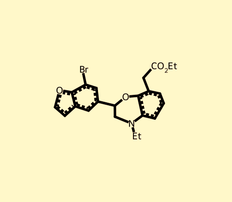 CCOC(=O)Cc1cccc2c1OC(c1cc(Br)c3occc3c1)CN2CC